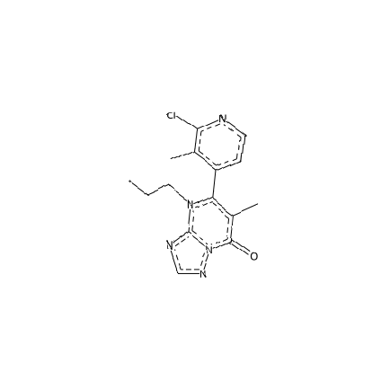 CCCn1c(-c2ccnc(Cl)c2C)c(C)c(=O)n2ncnc12